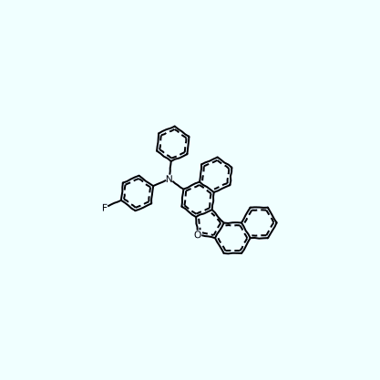 Fc1ccc(N(c2ccccc2)c2cc3oc4ccc5ccccc5c4c3c3ccccc23)cc1